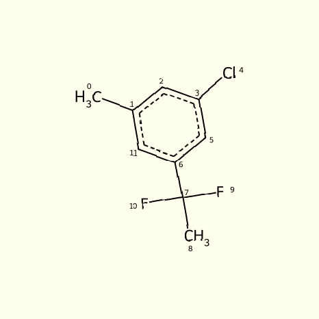 Cc1cc(Cl)cc(C(C)(F)F)c1